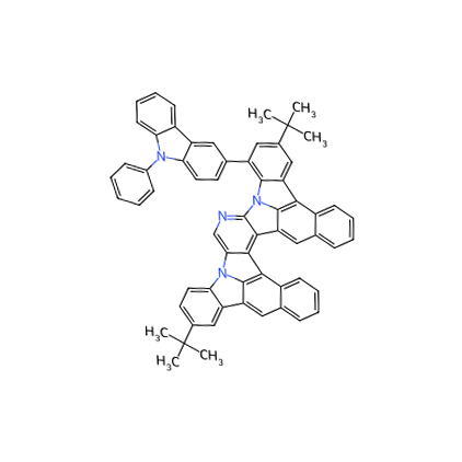 CC(C)(C)c1ccc2c(c1)c1cc3ccccc3c3c4c5c6cc7ccccc7c7c8cc(C(C)(C)C)cc(-c9ccc%10c(c9)c9ccccc9n%10-c9ccccc9)c8n(c5ncc4n2c13)c67